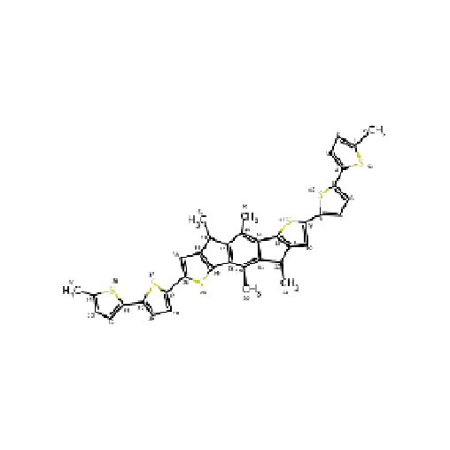 Cc1ccc(-c2ccc(-c3cc4c(s3)-c3c(C)c5c(c(C)c3C4C)-c3sc(-c4ccc(-c6ccc(C)s6)s4)cc3C5C)s2)s1